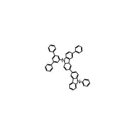 C1=CC2C(C=C1c1ccc3c(c1)c1ccccc1n3-c1ccccc1)c1cc(-c3ccccc3)ccc1N2c1cc(-c2ccccc2)cc(-c2ccccc2)c1